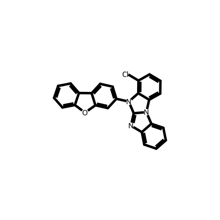 Clc1cccc2c1n(-c1ccc3c(c1)oc1ccccc13)c1nc3ccccc3n21